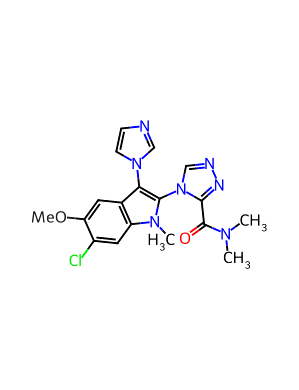 COc1cc2c(-n3ccnc3)c(-n3cnnc3C(=O)N(C)C)n(C)c2cc1Cl